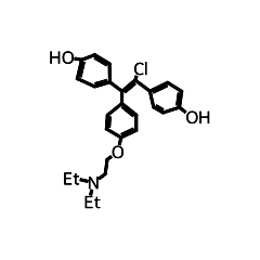 CCN(CC)CCOc1ccc(/C(=C(/Cl)c2ccc(O)cc2)c2ccc(O)cc2)cc1